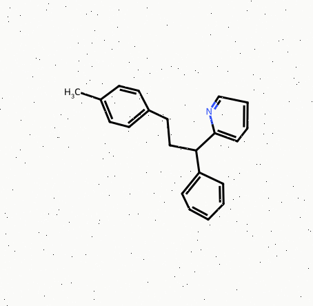 Cc1ccc([CH]CC(c2ccccc2)c2ccccn2)cc1